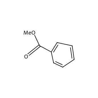 [CH]OC(=O)c1ccccc1